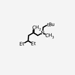 C=C(CC(CC)CC)CN(C)CC(C)(C)C